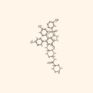 N#Cc1cccc(S(=O)(=O)N2CCn3c2c(-c2ccc(Cl)cc2)c(-c2ccc(Cl)cc2)c(CN2CCN(CC(=O)N4CCOCC4)CC2)c3=O)c1